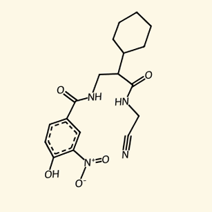 N#CCNC(=O)C(CNC(=O)c1ccc(O)c([N+](=O)[O-])c1)C1CCCCC1